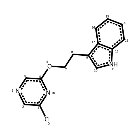 Clc1cncc(OCCc2c[nH]c3ccccc23)n1